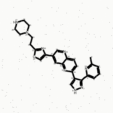 Cc1cccc(-c2n[nH]cc2-c2ccc3ncc(-c4coc(CCN5CCNCC5)n4)cc3n2)n1